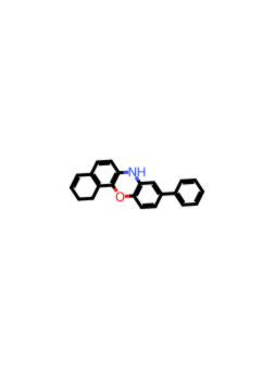 C1=Cc2ccc3c(c2CC1)Oc1ccc(-c2ccccc2)cc1N3